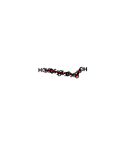 O=C(CSCCSCCOOCSCCSCOC(=O)CSCCSCCOOCSCCSCO)OCSCCSCO